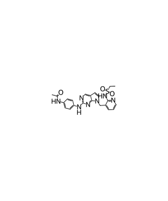 CCS(=O)(=O)Nc1ncccc1Cn1ccc2cnc(Nc3ccc(NC(C)=O)cc3)nc21